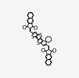 O=C1C(=CC2=Cc3sc4c(sc5cc(C=C6C(=O)c7cc8ccccc8cc7C6=O)sc54)c3C23CCCCC3)C(=O)c2cc3ccccc3cc21